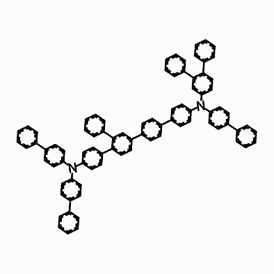 c1ccc(-c2ccc(N(c3ccc(-c4ccccc4)cc3)c3ccc(-c4ccc(-c5ccc(-c6ccc(N(c7ccc(-c8ccccc8)cc7)c7ccc(-c8ccccc8)c(-c8ccccc8)c7)cc6)cc5)cc4-c4ccccc4)cc3)cc2)cc1